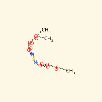 CCCCCCCCCOC(=O)CCCCCCCC(=O)Oc1ccc(CC(=O)OCCC2CCN(CCSSCCN3CCC(CCOC(=O)Cc4ccc(OC(=O)CCCCCC(=O)OC(CCCCCCCC)CCCCCCCC)cc4)CC3)CC2)cc1